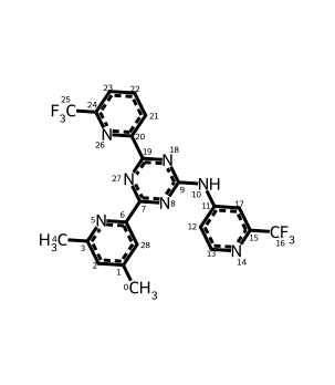 Cc1cc(C)nc(-c2nc(Nc3ccnc(C(F)(F)F)c3)nc(-c3cccc(C(F)(F)F)n3)n2)c1